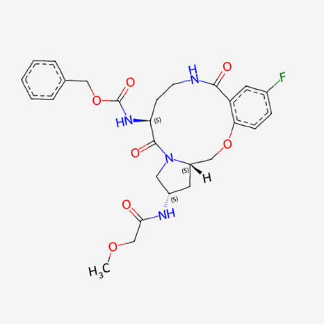 COCC(=O)N[C@H]1C[C@H]2COc3ccc(F)cc3C(=O)NCC[C@H](NC(=O)OCc3ccccc3)C(=O)N2C1